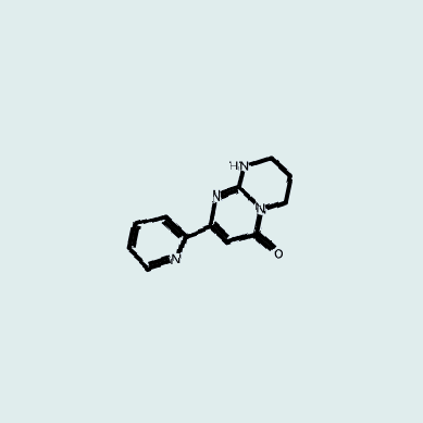 O=c1cc(-c2ccccn2)nc2n1CCCN2